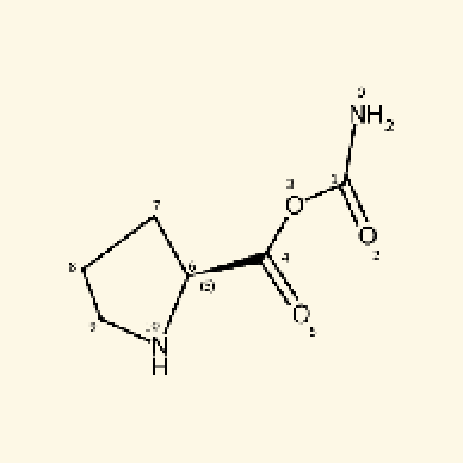 NC(=O)OC(=O)[C@@H]1CCCN1